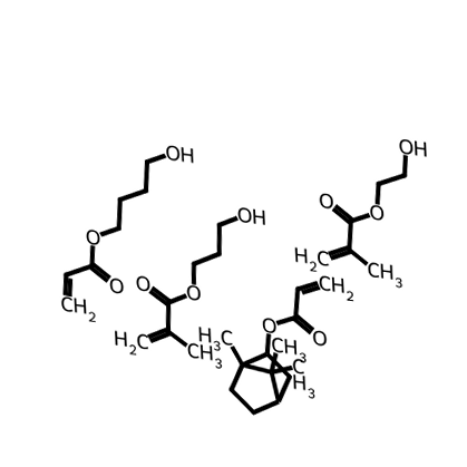 C=C(C)C(=O)OCCCO.C=C(C)C(=O)OCCO.C=CC(=O)OC1CC2CCC1(C)C2(C)C.C=CC(=O)OCCCCO